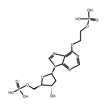 O=P(O)(O)OCCSc1ncnc2c1ncn2[C@H]1C[C@H](O)[C@@H](COP(=O)(O)O)O1